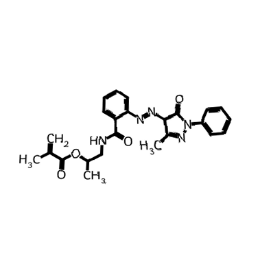 C=C(C)C(=O)OC(C)CNC(=O)c1ccccc1/N=N/C1C(=O)N(c2ccccc2)N=C1C